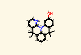 CC1(C)c2ccc(O)cc2N2c3ncccc3C(C)(C)c3cccc1c32